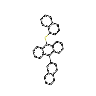 c1ccc2cc(-c3c4ccccc4c(Sc4cccc5ccccc45)c4ccccc34)ccc2c1